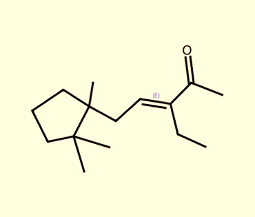 CC/C(=C\CC1(C)CCCC1(C)C)C(C)=O